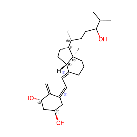 C=C1/C(=C\C=C2/CCC[C@]3(C)[C@@H]([C@H](C)CCC(O)C(C)C)CC[C@@H]23)C[C@@H](O)C[C@@H]1O